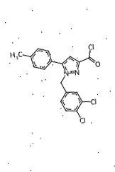 Cc1ccc(-c2cc(C(=O)Cl)nn2Cc2ccc(Cl)c(Cl)c2)cc1